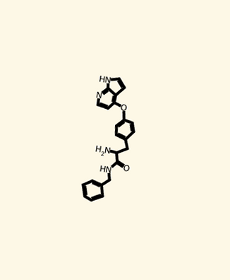 NC(Cc1ccc(Oc2ccnc3[nH]ccc23)cc1)C(=O)NCc1ccccc1